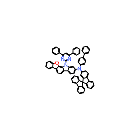 c1ccc(-c2ccc(N(c3ccc4c(c3)C3(c5ccccc5-c5ccccc53)c3ccccc3-4)c3ccc4c5ccc6c7ccccc7oc6c5n(-c5nc(-c6ccccc6)cc(-c6ccccc6)n5)c4c3)cc2)cc1